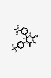 C=C1[C@@H](c2ccc(C(C)(F)F)cc2)[C@@](C)(c2cccc(S(C)(=O)=O)c2)NC(=N)N1C